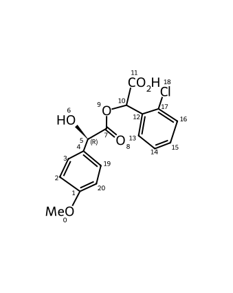 COc1ccc([C@@H](O)C(=O)OC(C(=O)O)c2ccccc2Cl)cc1